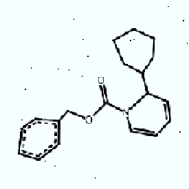 O=C(OCc1ccccc1)N1C=CC=CC1C1CCCCC1